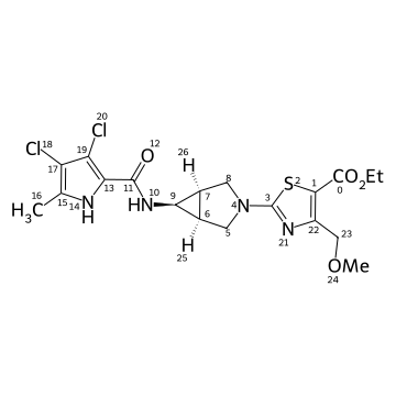 CCOC(=O)c1sc(N2C[C@@H]3[C@H](C2)[C@@H]3NC(=O)c2[nH]c(C)c(Cl)c2Cl)nc1COC